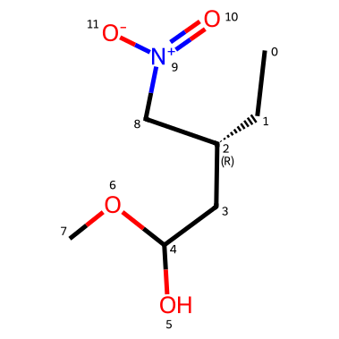 CC[C@H](CC(O)OC)C[N+](=O)[O-]